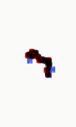 O=C(/C=C/c1cccnc1)NCCCCC1CCN(C(=O)c2ccc(C3CCN(C(=O)CCOCCSc4cccc5c4C(=O)N(C4CCC(=O)NC4=O)C5=O)CC3)cc2)CC1